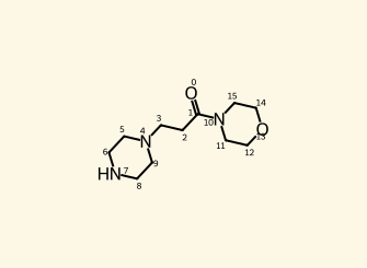 O=C(CCN1CCNCC1)N1CCOCC1